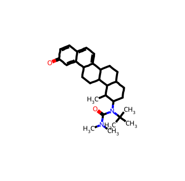 CC1C2C(CCC3C4=CC=C5C=CC(=O)C=C5C4CCC32)CCC1N(C(=O)N(C)C)C(C)(C)C